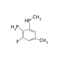 CPc1cc(C)cc(F)c1P